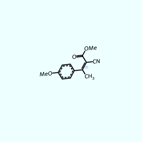 COC(=O)/C(C#N)=C(/C)c1ccc(OC)cc1